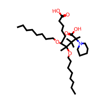 CCCCCCCCOC(CCCCC(=O)O)C(C)(OCCCCCCCC)C(C)(C)C(C)(C(=O)O)N1CCCCC1